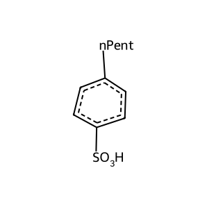 CCCCCc1ccc(S(=O)(=O)O)cc1